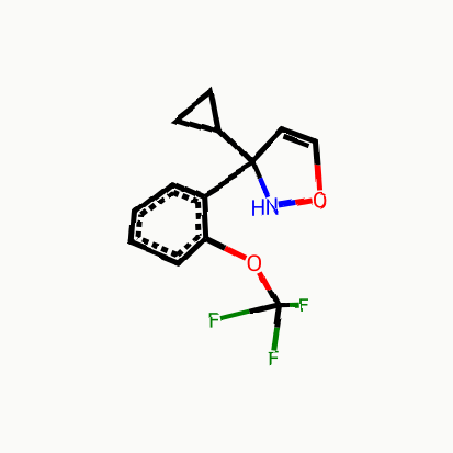 FC(F)(F)Oc1ccccc1C1(C2CC2)C=CON1